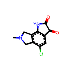 CN1Cc2c(Cl)cc3c(c2C1)NC(=O)C3=O